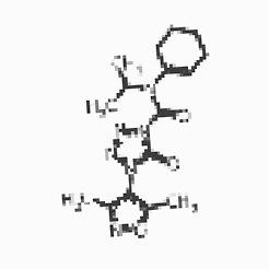 Cc1noc(C)c1-n1nnn(C(=O)N(C2=CCCCC2)C(C)C)c1=O